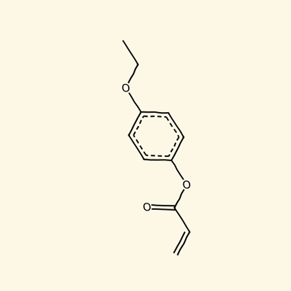 C=CC(=O)Oc1ccc(OCC)cc1